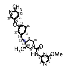 COc1cncc(NC(=O)N2CC/C(=C\c3cccc(Oc4ccc(C)nc4)c3)C(C)C2)n1